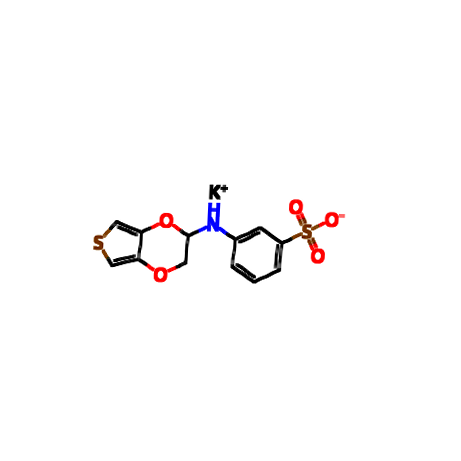 O=S(=O)([O-])c1cccc(NC2COc3cscc3O2)c1.[K+]